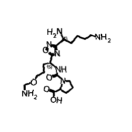 NCCCC[C@H](N)c1noc([C@H](CCCOCN)NC(=O)N2CCCC2C(=O)O)n1